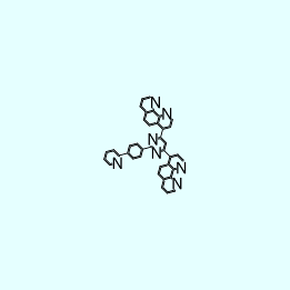 c1ccc(-c2ccc(-c3nc(-c4ccnc5c4ccc4cccnc45)cc(-c4ccnc5c4ccc4cccnc45)n3)cc2)nc1